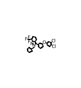 FC(F)(F)c1cccc2c(-c3cccc(Oc4ccc(Cl)c(Cl)c4)c3)n(Cc3ccccc3)nc12